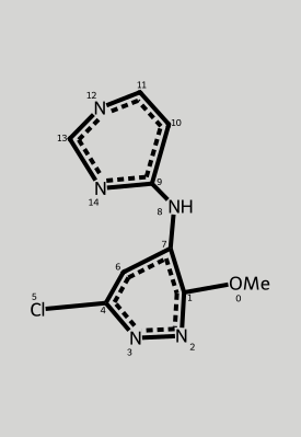 COc1nnc(Cl)cc1Nc1ccncn1